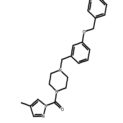 Cc1cnn(C(=O)N2CCN(Cc3cccc(OCc4ccccc4)c3)CC2)c1